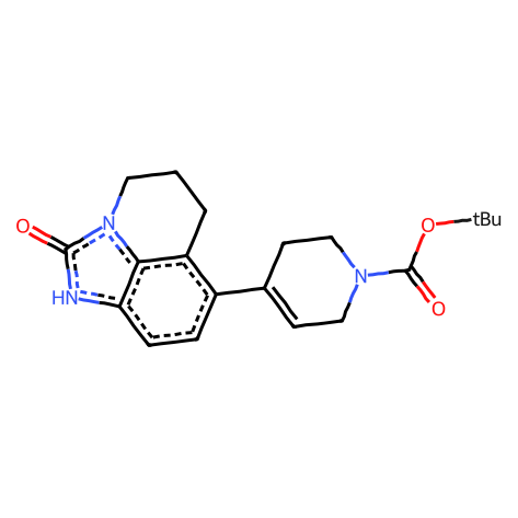 CC(C)(C)OC(=O)N1CC=C(c2ccc3[nH]c(=O)n4c3c2CCC4)CC1